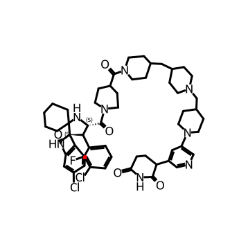 O=C1CCC(c2cncc(N3CCC(CN4CCC(CC5CCN(C(=O)C6CCN(C(=O)[C@H]7NC8(CCCCC8)[C@]8(C(=O)Nc9cc(Cl)ccc98)C7c7cccc(Cl)c7F)CC6)CC5)CC4)CC3)c2)C(=O)N1